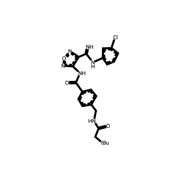 CC(C)(C)CC(=O)NCc1ccc(C(=O)Nc2nonc2C(=N)Nc2cccc(Cl)c2)cc1